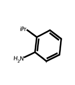 CC(C)c1ccc[c]c1N